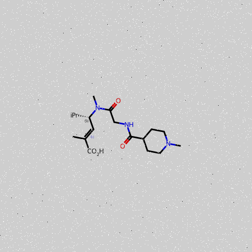 C/C(=C\[C@H](C(C)C)N(C)C(=O)CNC(=O)C1CCN(C)CC1)C(=O)O